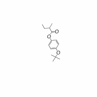 CCC(C)C(=O)Oc1ccc(OC(C)(C)C)cc1